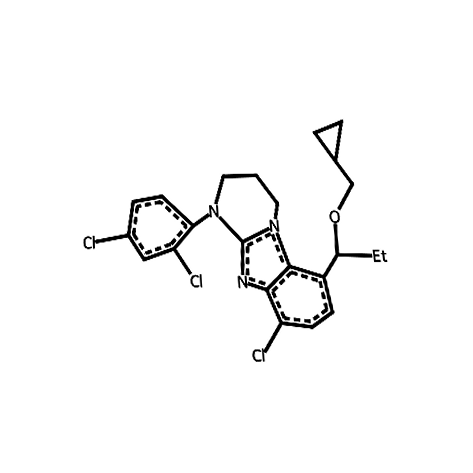 CCC(OCC1CC1)c1ccc(Cl)c2nc3n(c12)CCCN3c1ccc(Cl)cc1Cl